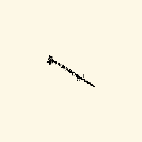 CCCCCCCCCCCC(=O)NCCOCCOCCOCCOCCOCCC[Si](OCC)(OCC)OCC